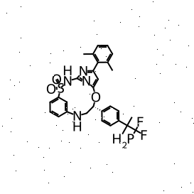 Cc1cccc(C)c1-c1cc2nc(n1)NS(=O)(=O)c1cccc(c1)NC[C@@H](c1ccc(C(C)(C)C(F)(F)P)cc1)O2